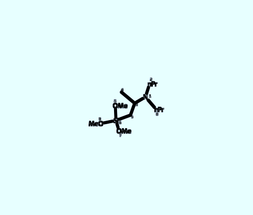 CCCN(CCC)C(C)C[Si](OC)(OC)OC